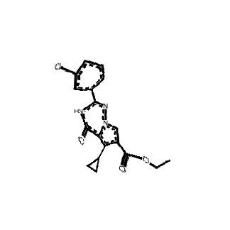 CCOC(=O)c1cn2nc(-c3cccc(Cl)c3)[nH]c(=O)c2c1C1CC1